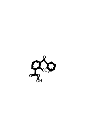 O=C(OO)c1cccc(C(=O)c2ccccc2)c1C(=O)O